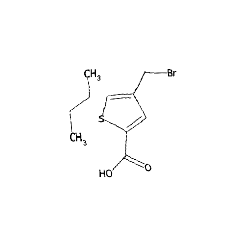 CCCC.O=C(O)c1cc(CBr)cs1